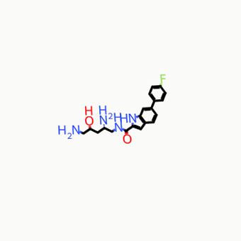 NCC(O)C[C@H](N)CNC(=O)c1cc2ccc(-c3ccc(F)cc3)cc2[nH]1